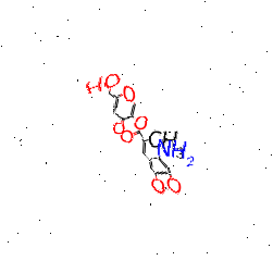 C/C(=C\c1cc2c(cc1N)OCO2)C(=O)Oc1coc(CO)cc1=O